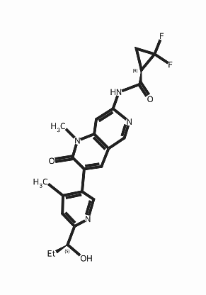 CC[C@H](O)c1cc(C)c(-c2cc3cnc(NC(=O)[C@H]4CC4(F)F)cc3n(C)c2=O)cn1